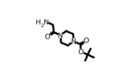 CC(C)(C)OC(=O)N1CCN(C(=O)CN)CC1